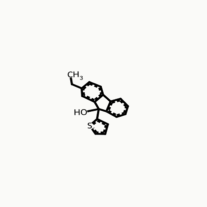 CCc1ccc2c(c1)C(O)(c1cccs1)c1ccccc1-2